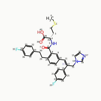 CSCC[C@H](NC(=O)c1cc(/C=C(/Cn2ccnc2)c2ccc(F)cc2)ccc1CCc1ccc(F)cc1)C(=O)O